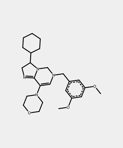 COc1cc(CN2C=C(N3CCOCC3)C3=NCC(C4CCCCC4)N3C2)cc(OC)c1